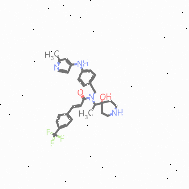 Cc1cc(Nc2ccc(CN(C(=O)C=Cc3ccc(C(F)(F)F)cc3)C(C)C3(O)CCNCC3)cc2)ccn1